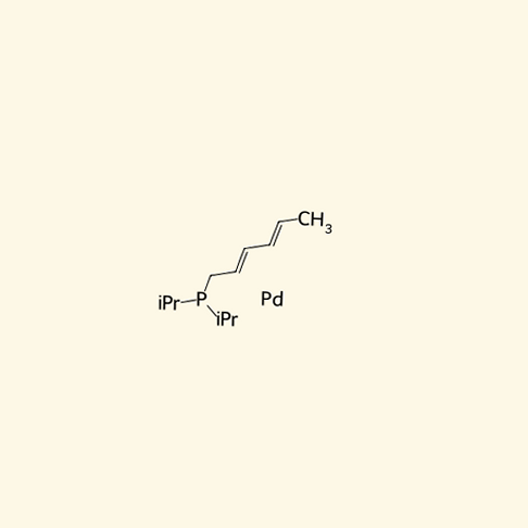 CC=CC=CCP(C(C)C)C(C)C.[Pd]